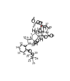 COC(=O)C[C@H]1[C@@H]2CC3=C(C)[C@H](c4ccccc4O[Si](C)(C)C(C)(C)C)C[C@H]3O[C@@H]2[C@@H]2OC(=O)[C@]3(C)C=CC(=O)[C@@]1(C)[C@@H]23